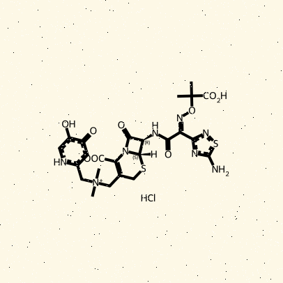 CC(C)(ON=C(C(=O)N[C@@H]1C(=O)N2C(C(=O)[O-])=C(C[N+](C)(C)Cc3cc(=O)c(O)c[nH]3)CS[C@@H]12)c1nsc(N)n1)C(=O)O.Cl